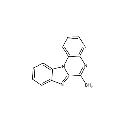 Bc1nc2ncccc2n2c1nc1ccccc12